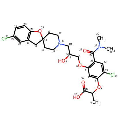 CC(Oc1cc(OC[C@@H](O)CN2CCC3(CC2)Cc2cc(Cl)ccc2O3)c(C(=O)N(C)C)cc1Cl)C(=O)O